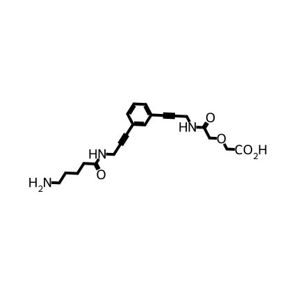 NCCCCC(=O)NCC#Cc1cccc(C#CCNC(=O)COCC(=O)O)c1